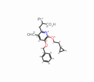 CC(C)C(Cc1nc(OCCC2CC2)c(OCc2ccccc2)cc1C=O)C(=O)O